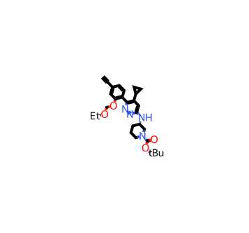 C#Cc1ccc(-c2nnc(N[C@@H]3CCCN(C(=O)OC(C)(C)C)C3)cc2C2CC2)c(OCOCC)c1